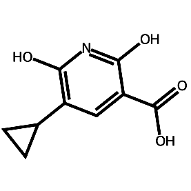 O=C(O)c1cc(C2CC2)c(O)nc1O